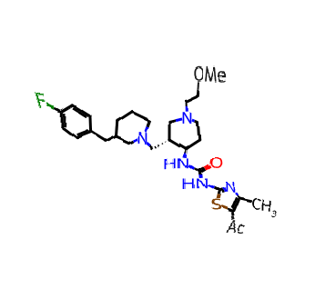 COCCN1CC[C@@H](NC(=O)Nc2nc(C)c(C(C)=O)s2)[C@H](CN2CCCC(Cc3ccc(F)cc3)C2)C1